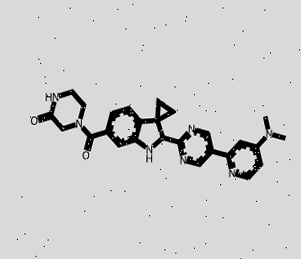 CN(C)c1ccnc(-c2cnc(C3Nc4cc(C(=O)N5CCNC(=O)C5)ccc4C34CC4)nc2)c1